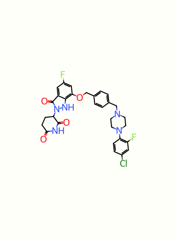 O=C1CCC(n2[nH]c3c(OCc4ccc(CN5CCN(c6ccc(Cl)cc6F)CC5)cc4)cc(F)cc3c2=O)C(=O)N1